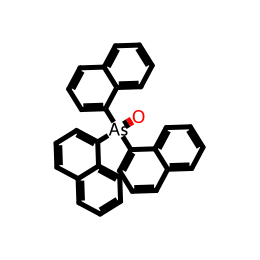 O=[As](c1cccc2ccccc12)(c1cccc2ccccc12)c1cccc2ccccc12